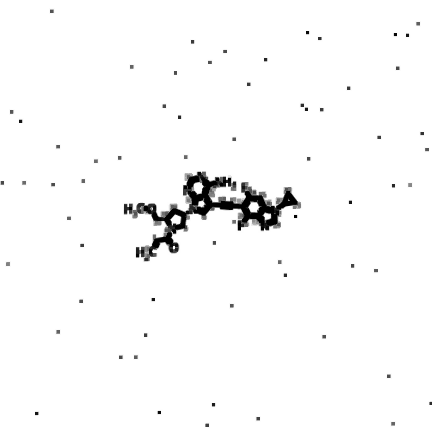 C=CC(=O)N1C[C@@H](n2cc(C#Cc3c(F)cc4c(ncn4C4CC4)c3F)c3c(N)ncnc32)C[C@@H]1COC